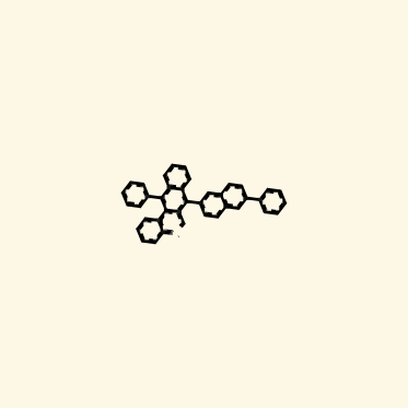 c1ccc(-c2ccc3cc(-c4c5ccccc5c(-c5ccccc5)c5c4cnc4ccccc45)ccc3c2)cc1